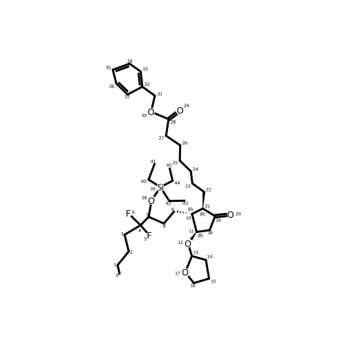 CCCCC(F)(F)C(CC[C@H]1[C@H](OC2CCCO2)CC(=O)[C@@H]1CCCCCCC(=O)OCc1ccccc1)O[Si](CC)(CC)CC